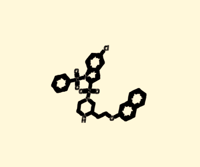 O=S(=O)(c1cc2cc(Cl)ccc2n1S(=O)(=O)c1ccccc1)N1CCNC(CCOc2ccc3ccccc3c2)C1